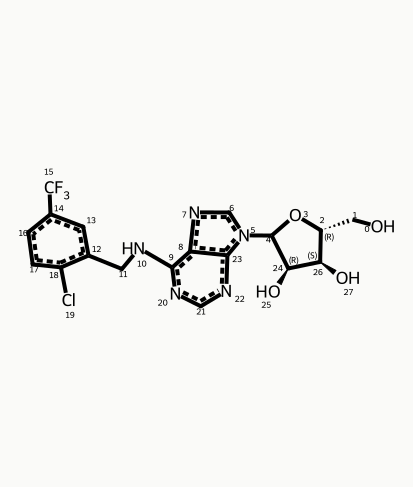 OC[C@H]1OC(n2cnc3c(NCc4cc(C(F)(F)F)ccc4Cl)ncnc32)[C@H](O)[C@@H]1O